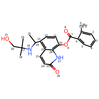 CCCc1ccccc1C(=O)Oc1ccc(C(C)NC(C)(C)CO)c2ccc(=O)[nH]c12